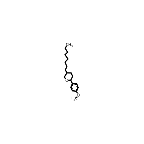 CCCCCCCCC1CCC(c2ccc(OC)cc2)OC1